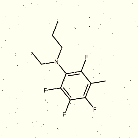 CCCN(CC)c1c(F)c(C)c(F)c(F)c1F